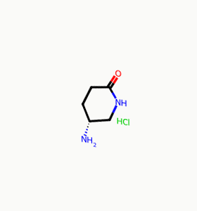 Cl.N[C@@H]1CCC(=O)NC1